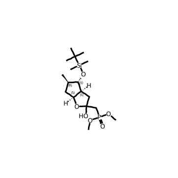 COP(=O)(CC1(O)C[C@@H]2[C@@H](O[Si](C)(C)C(C)(C)C)[C@H](C)C[C@@H]2O1)OC